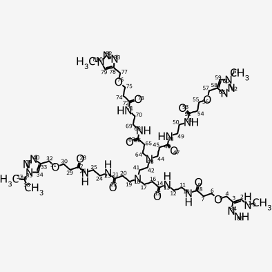 CN/C=C(/COCCC(=O)NCCNC(=O)CCN(CCC(=O)NCCNC(=O)CCOCc1cn(C(C)C)nn1)CCN(CCC(=O)NCCNC(=O)CCOCc1cn(C)nn1)CCC(=O)NCCNC(=O)CCOCc1cn(C)nn1)N=N